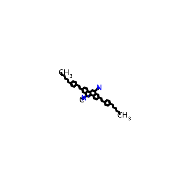 [C-]#[N+]c1cc2c3ccc(/C=C/c4ccc(CCCCCC)cc4)cc3c(C#N)cc2c2ccc(/C=C/c3ccc(CCCCCC)cc3)cc12